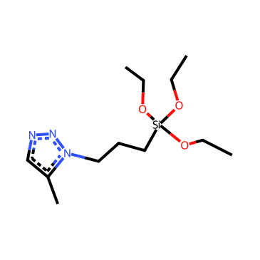 CCO[Si](CCCn1nncc1C)(OCC)OCC